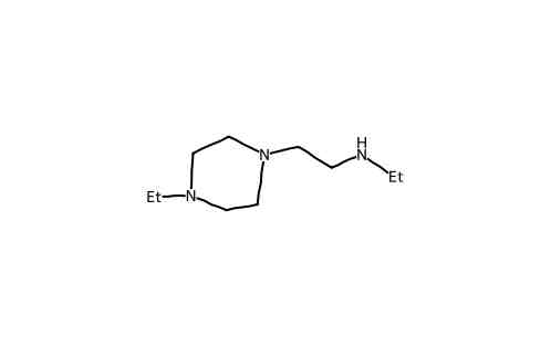 CCNCCN1CCN(CC)CC1